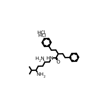 CC(C)C(N)CC[C@H](N)CNC(=O)C(CCc1ccccc1)CCc1ccccc1.Cl.Cl